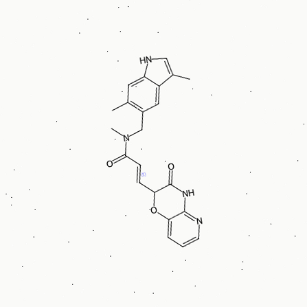 Cc1cc2[nH]cc(C)c2cc1CN(C)C(=O)/C=C/C1Oc2cccnc2NC1=O